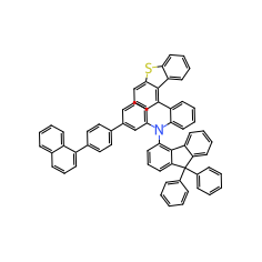 c1ccc(C2(c3ccccc3)c3ccccc3-c3c(N(c4cccc(-c5ccc(-c6cccc7ccccc67)cc5)c4)c4ccccc4-c4cccc5sc6ccccc6c45)cccc32)cc1